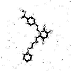 O=NC(=O)c1ccc(CCn2c(CNCCOc3ccccc3)c(Cl)cc(Cl)c2=O)cc1